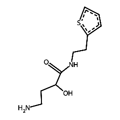 NCCC(O)C(=O)NCCc1cccs1